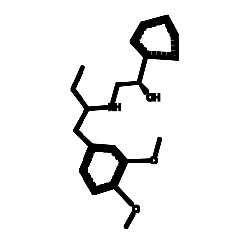 CCC(Cc1ccc(OC)c(OC)c1)NC[C@H](O)c1ccccc1